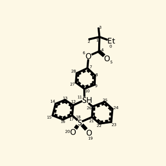 CCC(C)(C)C(=O)Oc1ccc([SH]2c3ccccc3S(=O)(=O)c3ccccc32)cc1